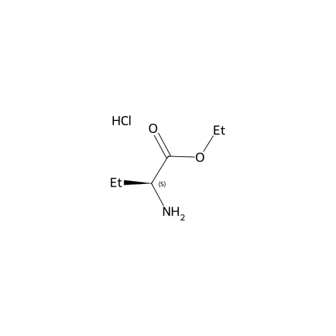 CCOC(=O)[C@@H](N)CC.Cl